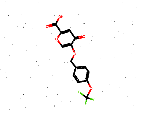 O=C(O)c1cc(=O)c(OCc2ccc(OC(F)(F)F)cc2)co1